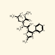 COC(=O)[C@H](CC(C)C)N(C)C(=O)c1sc(C)nc1-c1ccccc1